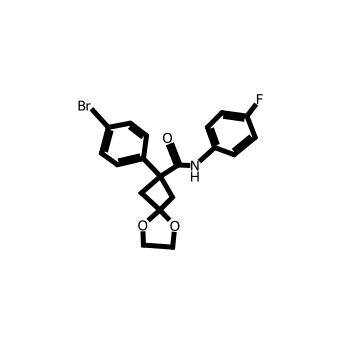 O=C(Nc1ccc(F)cc1)C1(c2ccc(Br)cc2)CC2(C1)OCCO2